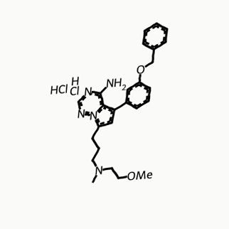 COCCN(C)CCCc1cc(-c2cccc(OCc3ccccc3)c2)c2c(N)ncnn12.Cl.Cl